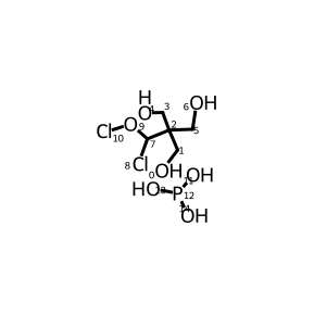 OCC(CO)(CO)C(Cl)OCl.OP(O)O